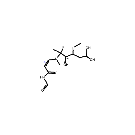 COC(CC(O)O)[C@@H](O)C(C)(F)N(C)/C=C\C(=O)NC=O